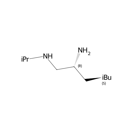 CC[C@H](C)C[C@@H](N)CNC(C)C